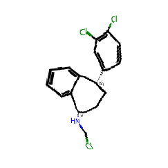 ClCN[C@H]1CC[C@@H](c2ccc(Cl)c(Cl)c2)c2ccccc21